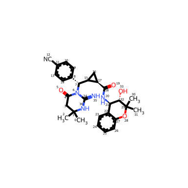 CC1(C)CC(=O)N([C@H](c2ccc(C#N)cc2)C2C[C@H]2C(=O)N[C@@H]2c3ccccc3OC(C)(C)[C@H]2O)C(=N)N1